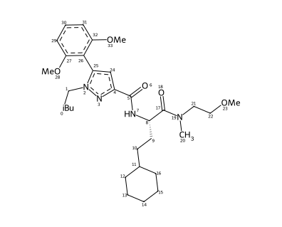 CCC(C)Cn1nc(C(=O)N[C@@H](CCC2CCCCC2)C(=O)N(C)CCOC)cc1-c1c(OC)cccc1OC